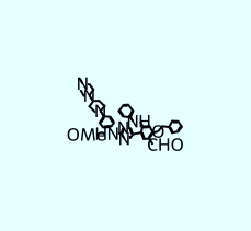 COc1cc(N2CCC(N3CCN(C)CC3)CC2)ccc1Nc1ncc(-c2cc(C=O)c(OCc3ccccc3)cc2C)c(Nc2ccccc2)n1